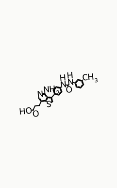 Cc1cccc(NC(=O)Nc2ccc(-c3csc4c(CCC(=O)O)cnc(N)c34)cc2)c1